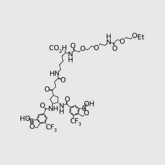 CCOCCOCC(=O)NCCOCCOCC(=O)N[C@@H](CCCCNC(=O)CCC(=O)C1C[C@H](NC(=O)c2cc3c(c(C(F)(F)F)c2)COB3O)[C@@H](NC(=O)c2cc3c(c(C(F)(F)F)c2)COB3O)C1)C(=O)O